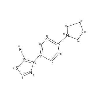 Fc1scnc1-c1ccc(N2CCCC2)cc1